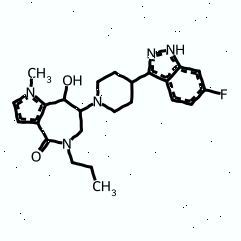 CCCN1CC(N2CCC(c3n[nH]c4cc(F)ccc34)CC2)C(O)c2c(ccn2C)C1=O